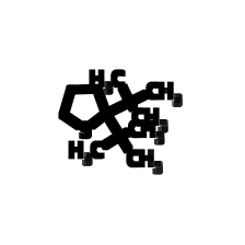 CC(C)(C)C1(C(C)(C)C)CCCS1